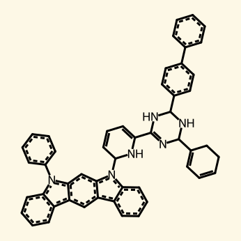 C1=CCCC(C2N=C(C3=CC=CC(n4c5ccccc5c5cc6c7ccccc7n(-c7ccccc7)c6cc54)N3)NC(c3ccc(-c4ccccc4)cc3)N2)=C1